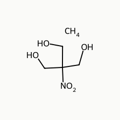 C.O=[N+]([O-])C(CO)(CO)CO